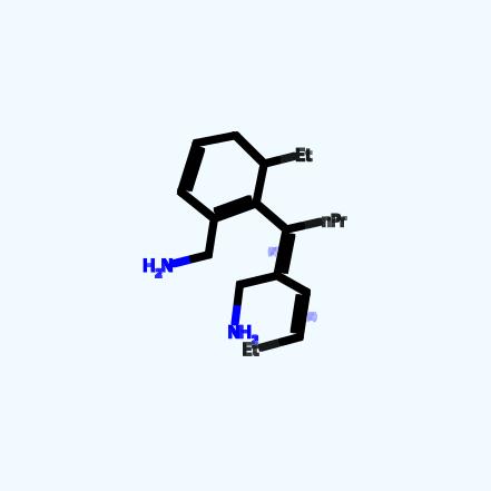 CC/C=C\C(CN)=C(/CCC)C1=C(CN)C=CCC1CC